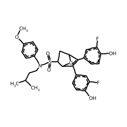 COc1ccc(N(CCC(C)C)S(=O)(=O)C2CC3OC2C(c2ccc(O)c(F)c2)=C3c2ccc(O)c(F)c2)cc1